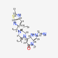 CC[C@H]1CN(C(C)c2ccc3nc(C)sc3n2)[C@H](CC)CN1c1cc(=O)n(C)c2cn(CC#N)nc12